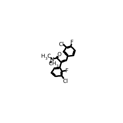 CN(C)C(=O)C(=Cc1ccc(F)c(Cl)c1)c1cccc(Cl)c1F